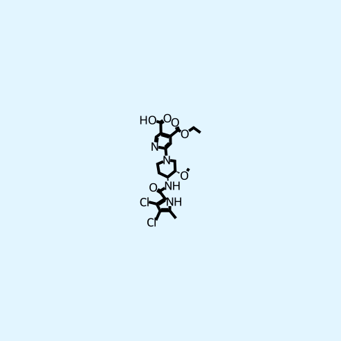 CCOC(=O)c1cc(N2CC[C@@H](NC(=O)c3[nH]c(C)c(Cl)c3Cl)[C@@H](OC)C2)ncc1C(=O)O